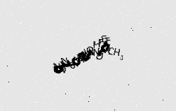 C[C@H]1C=C(C(=O)NCC(=O)N2CC[C@H]3[C@@H]2CCN3C2CCC(Oc3cncc(-c4ncccn4)c3)CC2)C=C(C(F)(F)F)C1